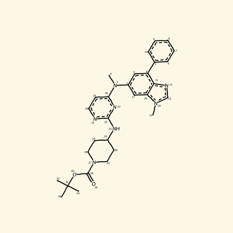 CN(c1cc(-c2ccccc2)c2ncn(C)c2c1)c1ccnc(NC2CCN(C(=O)OC(C)(C)C)CC2)n1